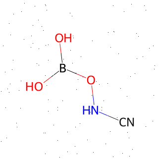 N#CNOB(O)O